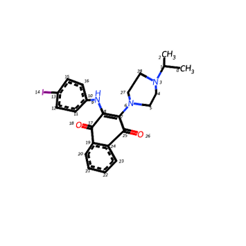 CC(C)N1CCN(C2=C(Nc3ccc(I)cc3)C(=O)c3ccccc3C2=O)CC1